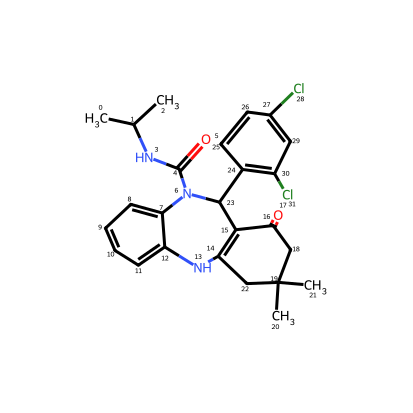 CC(C)NC(=O)N1c2ccccc2NC2=C(C(=O)CC(C)(C)C2)C1c1ccc(Cl)cc1Cl